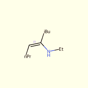 CCC/C=C(\NCC)C(C)CC